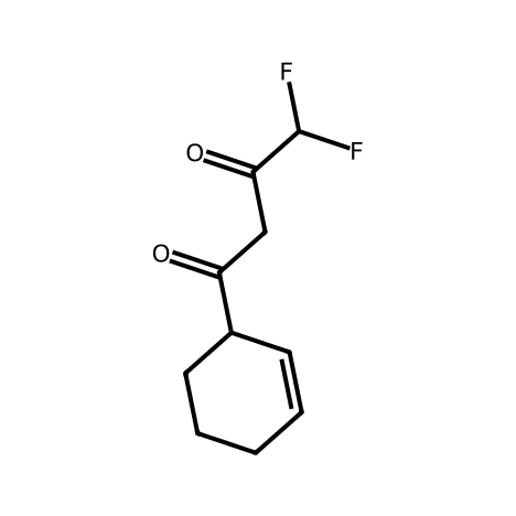 O=C(CC(=O)C1C=CCCC1)C(F)F